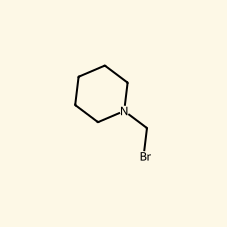 BrCN1CCCCC1